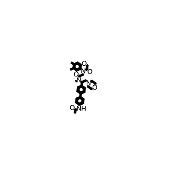 CC(=O)Nc1ccc(-c2ccc(C(CN3CCOCC3)N(C)C(=O)CN3C(=O)COc4cc(C)c(C)cc43)cc2)cc1